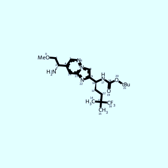 COC[C@@H](N)c1cnn2cc([C@H](CCC(C)(C)C(F)(F)F)NC(=O)OC(C)(C)C)nc2c1